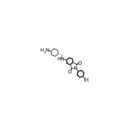 CCc1ccc(N2C(=O)c3ccc(NC[C@H]4CC[C@H](N)CC4)cc3C2=O)cc1